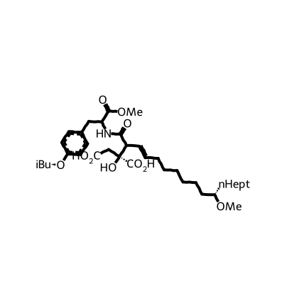 CCCCCCC[C@@H](CCCCCC/C=C/C(C(=O)NC(Cc1ccc(O[C@@H](C)CC)cc1)C(=O)OC)[C@@](O)(CC(=O)O)C(=O)O)OC